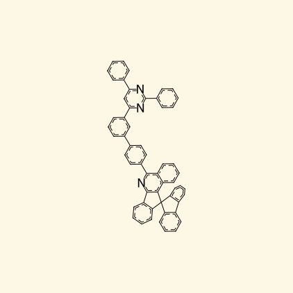 c1ccc(-c2cc(-c3cccc(-c4ccc(-c5nc6c(c7ccccc57)C5(c7ccccc7-c7ccccc75)c5ccccc5-6)cc4)c3)nc(-c3ccccc3)n2)cc1